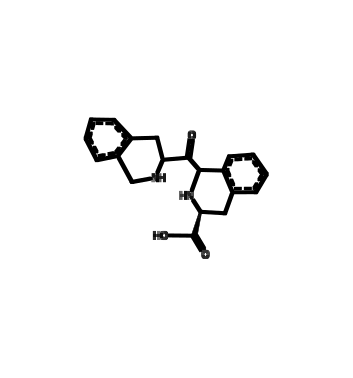 O=C(C1Cc2ccccc2CN1)C1N[C@H](C(=O)O)Cc2ccccc21